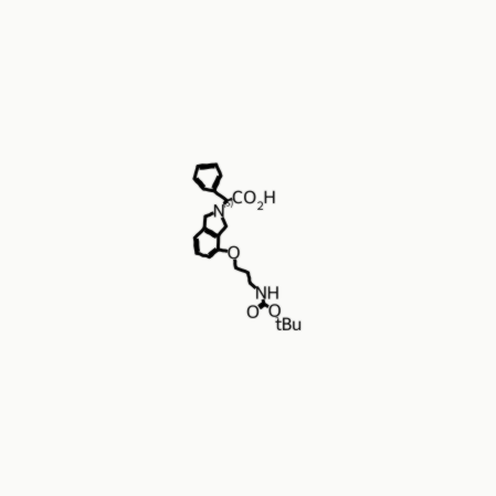 CC(C)(C)OC(=O)NCCCOc1cccc2c1CN([C@H](C(=O)O)c1ccccc1)C2